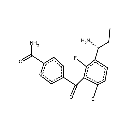 CC[C@@H](N)c1ccc(Cl)c(C(=O)c2ccc(C(N)=O)nc2)c1F